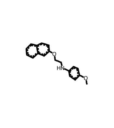 COc1ccc(NCCOc2ccc3ccccc3c2)cc1